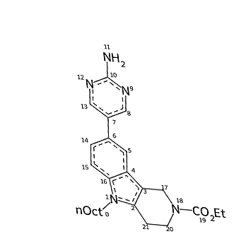 CCCCCCCCn1c2c(c3cc(-c4cnc(N)nc4)ccc31)CN(C(=O)OCC)CC2